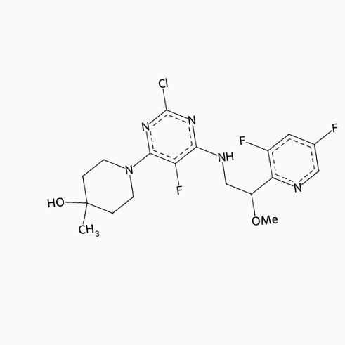 COC(CNc1nc(Cl)nc(N2CCC(C)(O)CC2)c1F)c1ncc(F)cc1F